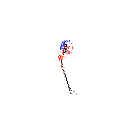 CCCCCCCCCCCCCCOCCCCOP(=O)(O)OC[C@H]1O[C@@](C#N)(c2ccc3c(N)ncnn23)[C@H](O)[C@@H]1O